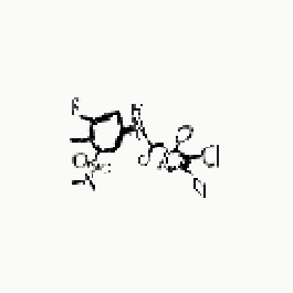 Cc1c(F)cc(NC(=O)Cn2ncc(Cl)c(Cl)c2=O)cc1S(=O)(=O)N(C)C